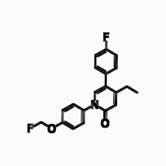 CCc1cc(=O)n(-c2ccc(OCF)cc2)cc1-c1ccc(F)cc1